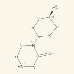 O=C1CNCCN1[C@H]1CC[C@H](O)CC1